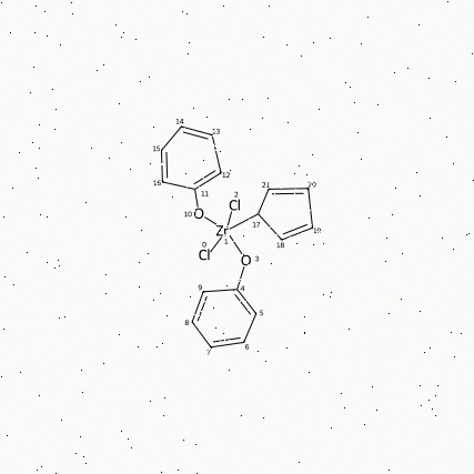 [Cl][Zr]([Cl])([O]c1ccccc1)([O]c1ccccc1)[CH]1C=CC=C1